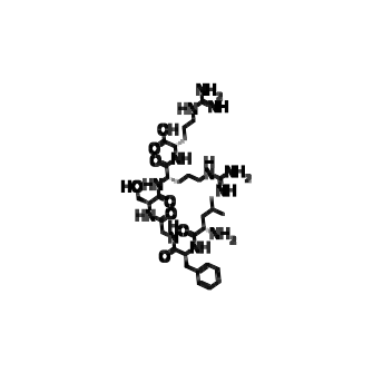 CC(C)C[C@H](N)C(=O)N[C@@H](Cc1ccccc1)C(=O)NCC(=O)N[C@@H](CO)C(=O)N[C@@H](CCCNC(=N)N)C(=O)N[C@@H](CCCNC(=N)N)C(=O)O